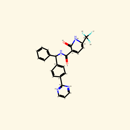 O=C(NC(c1ccccc1)c1ccc(-c2ncccn2)cc1)c1ccc(C(F)(F)F)[nH]c1=O